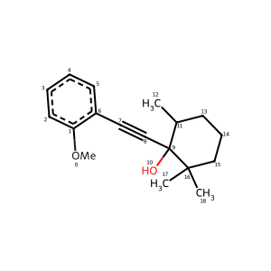 COc1ccccc1C#CC1(O)C(C)CCCC1(C)C